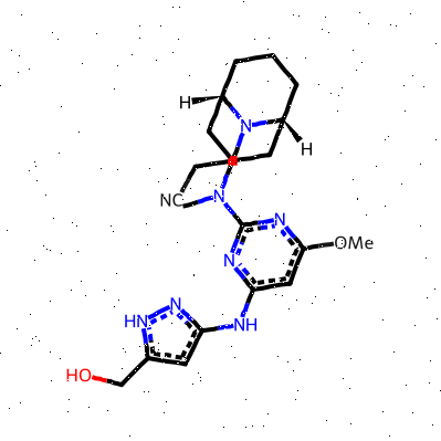 COc1cc(Nc2cc(CO)[nH]n2)nc(N(C)C2C[C@H]3CCC[C@@H](C2)N3CCC#N)n1